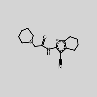 N#Cc1c(NC(=O)CN2CCCCC2)sc2c1CCCC2